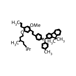 CC=Cc1cc(OC)c(C=Cc2ccc(N(c3ccc(C)cc3)c3ccc4c(c3)C(C)(C)c3ccccc3-4)cc2)cc1OCCC(C)CCCC(C)C